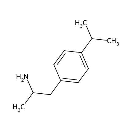 CC(N)Cc1ccc(C(C)C)cc1